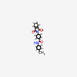 Cc1ccc(NC(=O)c2ccc(N3C(=O)C4C5CCC(C5)C4C3=O)cc2)cc1